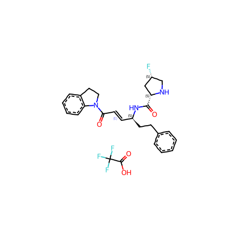 O=C(N[C@H](/C=C/C(=O)N1CCc2ccccc21)CCc1ccccc1)[C@@H]1C[C@H](F)CN1.O=C(O)C(F)(F)F